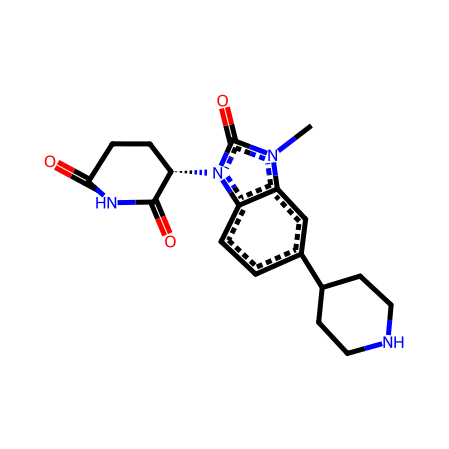 Cn1c(=O)n([C@H]2CCC(=O)NC2=O)c2ccc(C3CCNCC3)cc21